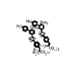 CCOC(=O)[C@@H](N)Cc1ccc(-c2noc(-c3ccc(OC)c(-c4ccc(O)cc4)c3)n2)cc1.CC[C@](N)(Cc1ccc(-c2noc(-c3ccc(OC)c(-c4ccc(O)cc4)c3)n2)cc1)C(=O)O